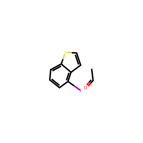 CC=O.Ic1cccc2sccc12